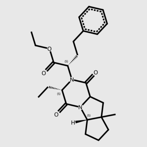 CCOC(=O)[C@H](CCc1ccccc1)N1C(=O)C2CC3(C)CCC[C@@H]3N2C(=O)[C@@H]1CC